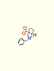 COC(=O)C12CCC[C@H]1CN(Cc1ccccc1)C2